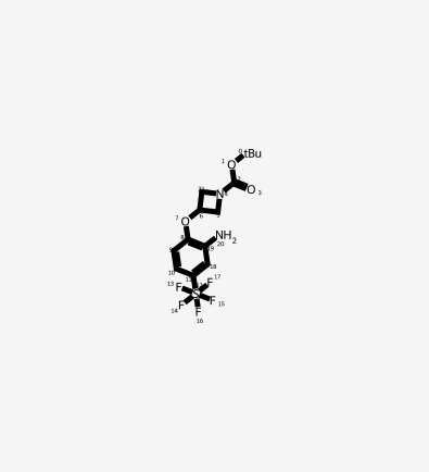 CC(C)(C)OC(=O)N1CC(Oc2ccc(S(F)(F)(F)(F)F)cc2N)C1